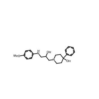 COc1ccc(NCC(O)CN2CCC(O)(c3ccccc3)CC2)cc1